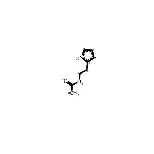 CC(=O)OCCc1cccs1